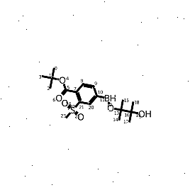 CC(C)(C)OC(=O)c1ccc(BOC(C)(C)C(C)(C)O)cc1S(C)(=O)=O